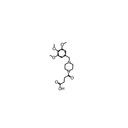 COc1cc(CN2CCN(C(=O)CCC(=O)O)CC2)cc(OC)c1OC